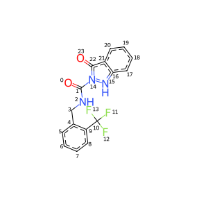 O=C(NCc1ccccc1C(F)(F)F)n1[nH]c2ccccc2c1=O